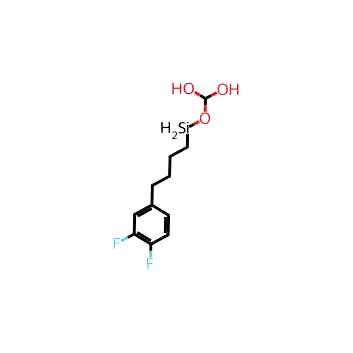 OC(O)O[SiH2]CCCCc1ccc(F)c(F)c1